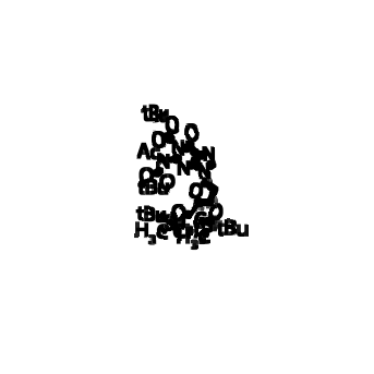 CC(=O)N(C(=O)OC(C)(C)C)c1nc2c(ncn2[C@H]2C[C@@H](O[Si](C)(C)C(C)(C)C)[C@@H](CO[Si](C)(C)C(C)(C)C)O2)c(=O)n1C(=O)OC(C)(C)C